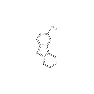 Cc1ccc2sc3cc[c]cc3c2c1